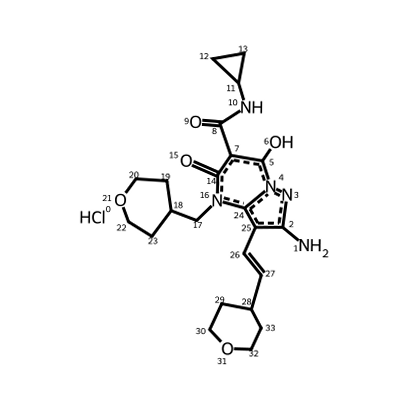 Cl.Nc1nn2c(O)c(C(=O)NC3CC3)c(=O)n(CC3CCOCC3)c2c1C=CC1CCOCC1